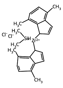 Cc1ccc(C)c2c1C=C[CH]2[Zr+2]([CH]1C=Cc2c(C)ccc(C)c21)[SiH](C)C.[Cl-].[Cl-]